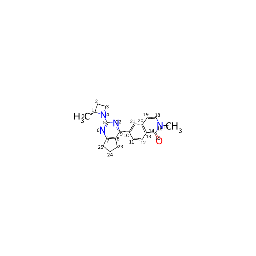 C[C@H]1CCN1c1nc2c(c(-c3ccc4c(=O)n(C)ccc4c3)n1)CCC2